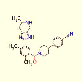 Cc1cc(C)c(-c2nc3c([nH]2)CNC(C)C3)cc1C(=O)N1CCC(c2ccc(C#N)cc2)CC1